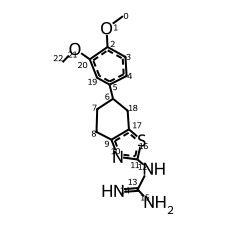 COc1ccc(C2CCc3nc(NC(=N)N)sc3C2)cc1OC